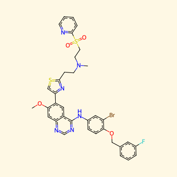 COc1cc2ncnc(Nc3ccc(OCc4cccc(F)c4)c(Br)c3)c2cc1-c1csc(CCN(C)CCS(=O)(=O)c2ccccn2)n1